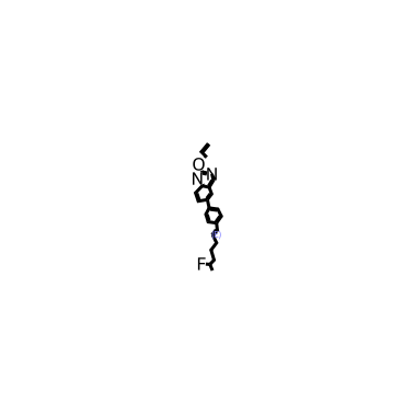 C=CCOc1ncc2cc(-c3ccc(/C=C/CCCC(C)F)cc3)ccc2n1